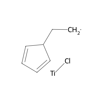 [CH2]CC1C=CC=C1.[Cl][Ti]